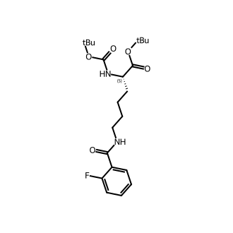 CC(C)(C)OC(=O)N[C@@H](CCCCNC(=O)c1ccccc1F)C(=O)OC(C)(C)C